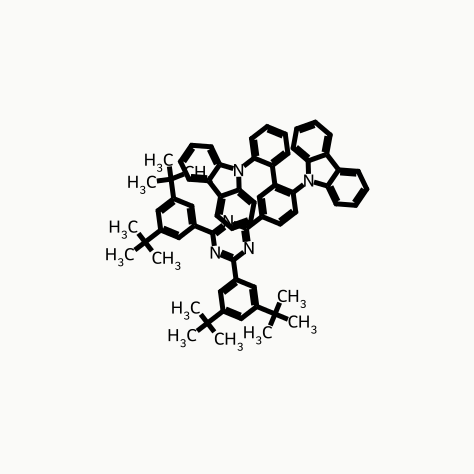 CC(C)(C)c1cc(-c2nc(-c3cc(C(C)(C)C)cc(C(C)(C)C)c3)nc(-c3ccc(-n4c5ccccc5c5ccccc54)c(-c4ccccc4-n4c5ccccc5c5ccccc54)c3)n2)cc(C(C)(C)C)c1